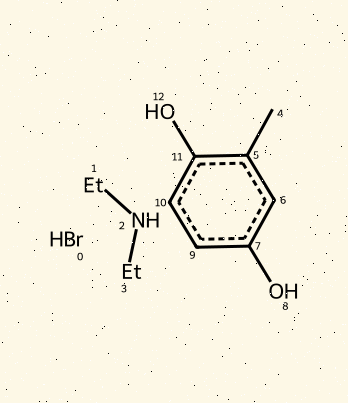 Br.CCNCC.Cc1cc(O)ccc1O